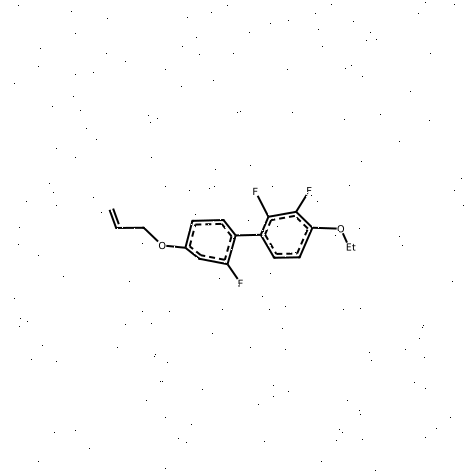 C=CCOc1ccc(-c2ccc(OCC)c(F)c2F)c(F)c1